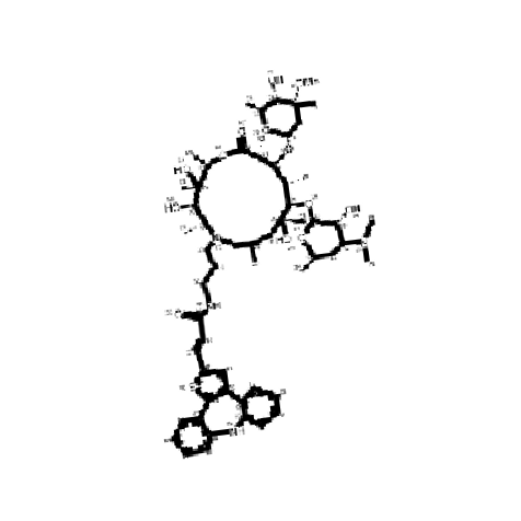 CO[C@]1(C)C[C@H](O[C@H]2[C@H](C)[C@@H](O[C@@H]3O[C@H](C)C[C@H](N(C)C)[C@H]3O)[C@](C)(O)C[C@@H](C)CN(CCCNC(=O)/C=C/c3cc4c(s3)-c3ccccc3Nc3ccccc3-4)[C@H](C)[C@@H](O)[C@](C)(O)[C@@H](I)OC(=O)[C@@H]2C)O[C@@H](C)[C@@H]1O